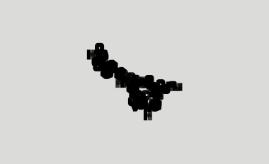 CC(C)(C)OC(=O)COc1c(C(=O)OC(C)(C)C)sc(-c2cccc(N[C@@H]3CCN(S(=O)(=O)Cc4cccc(NC(=O)N5CCC(c6ccc7c8c(cccc68)C(=O)N7C6CCC(=O)NC6=O)CC5)c4)C4(CC4)C3)c2)c1Cl